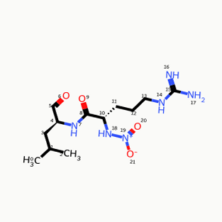 CC(C)C[C@@H](C=O)NC(=O)[C@H](CCCNC(=N)N)N[N+](=O)[O-]